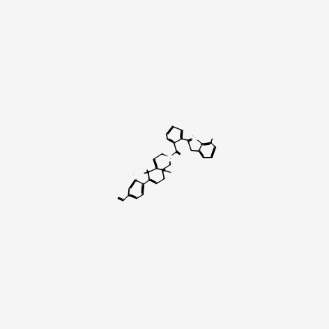 C=Cc1ccc(C2=CCC3(C)CN(C(=C)c4ccccc4C4=Nc5c(C)cccc5C4)CC=C3C2(C)C)cc1